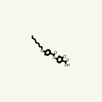 CCCCCCCOc1ccc(C(=O)Oc2ccc(C(=O)O)c(Cl)c2)cc1